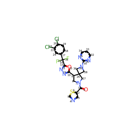 O=C(c1cncs1)N1CC(c2nnc(C(F)(F)c3ccc(Cl)c(Cl)c3)o2)C2(C1)CN(c1ncccn1)C2